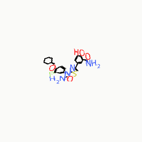 NC(=O)c1cc(-c2csc(N(C(N)=O)c3ccc(OCC4CCCCC4)c(F)c3)n2)ccc1O